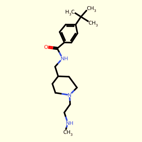 CNCCN1CCC(CNC(=O)c2ccc(C(C)(C)C)cc2)CC1